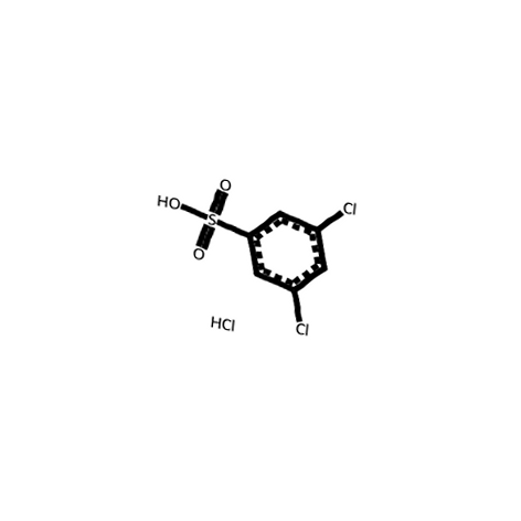 Cl.O=S(=O)(O)c1cc(Cl)cc(Cl)c1